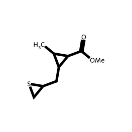 COC(=O)C1C(C)C1CC1CS1